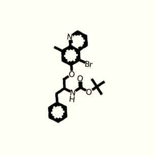 Cc1cc(OCC(Cc2ccccc2)NC(=O)OC(C)(C)C)c(Br)c2cccnc12